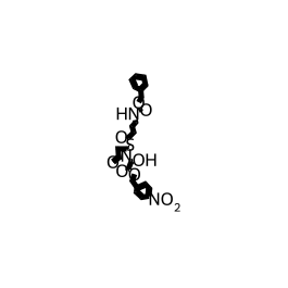 O=C(NCCCC(=O)S[C@H]1CC(=O)N1C(O)C(=O)OCc1ccc([N+](=O)[O-])cc1)OCc1ccccc1